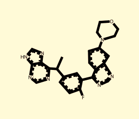 CC(c1ccc(F)c(-c2ncnc3cc(N4CCOCC4)ccc23)c1)c1ncnc2[nH]cnc12